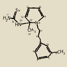 Cc1cccc(CCN2C=CC=CC2(C)NC(N)=S)c1